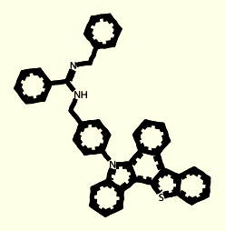 c1ccc(C/N=C(\NCc2ccc(-n3c4ccccc4c4c5sc6ccccc6c5c5ccccc5c43)cc2)c2ccccc2)cc1